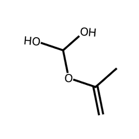 C=C(C)OC(O)O